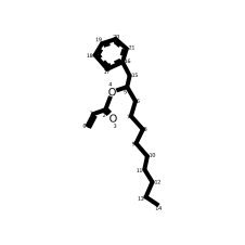 C=CC(=O)OC(CCCCCCCCC)Cc1ccccc1